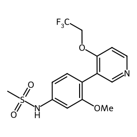 COc1cc(NS(C)(=O)=O)ccc1-c1cnccc1OCC(F)(F)F